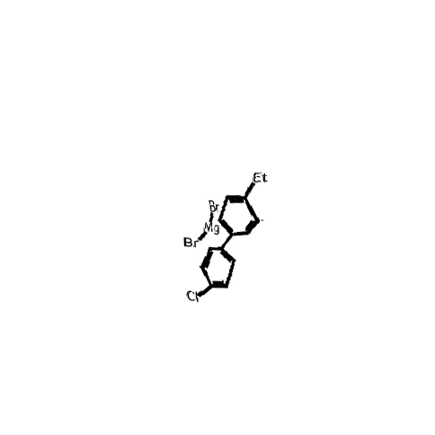 CCc1[c]cc(-c2ccc(Cl)cc2)cc1.[Br][Mg][Br]